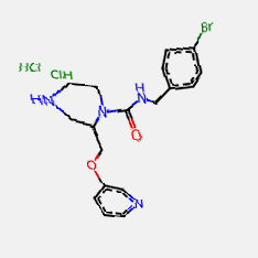 Cl.Cl.O=C(NCc1ccc(Br)cc1)N1CCNCC1COc1cccnc1